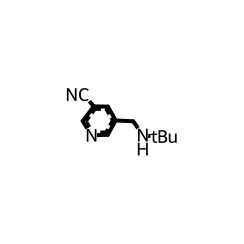 CC(C)(C)NCc1cncc(C#N)c1